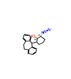 [N-]=[N+]=N[C@@H]1CCCC(C2c3ccccc3CCc3ccccc32)[C@H]1O